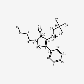 CCCCn1sc(-c2ccccc2)c(NCC(C)(C)C)c1=O